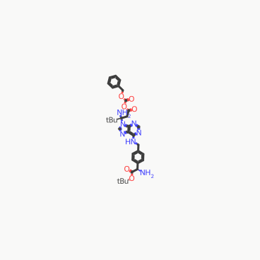 CC(C)(C)OC(=O)[C@H](N)c1ccc(CNc2ncnc3c2ncn3[C@](N)(CC(=O)OC(=O)OCc2ccccc2)C(C)(C)C)cc1